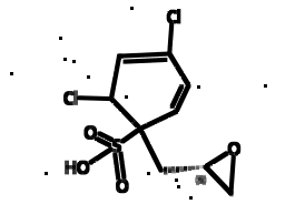 O=S(=O)(O)C1(C[C@H]2CO2)C=CC(Cl)=CC1Cl